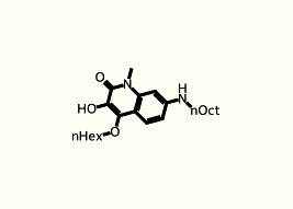 CCCCCCCCNc1ccc2c(OCCCCCC)c(O)c(=O)n(C)c2c1